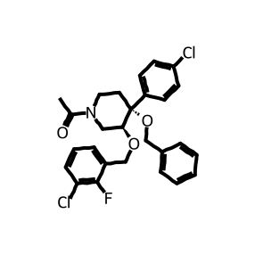 CC(=O)N1CC[C@@](OCc2ccccc2)(c2ccc(Cl)cc2)[C@@H](OCc2cccc(Cl)c2F)C1